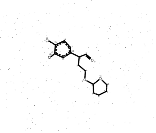 O=CC(CCOC1CCCCO1)c1ccc(Cl)c(Cl)c1